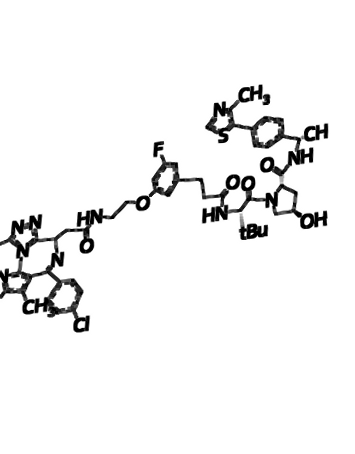 Cc1ncsc1-c1ccc([C@H](C)NC(=O)[C@@H]2C[C@@H](O)CN2C(=O)[C@@H](NC(=O)CCc2cc(F)cc(OCCNC(=O)CC3N=C(c4ccc(Cl)cc4)c4c([nH]c(C)c4C)-n4c(C)nnc43)c2)C(C)(C)C)cc1